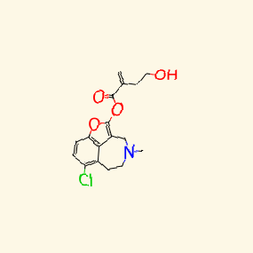 C=C(CCO)C(=O)Oc1oc2ccc(Cl)c3c2c1CN(C)CC3